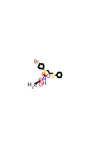 C=CC(=O)ONC(=O)OC(CSc1ccccc1)CSc1ccc(Br)cc1